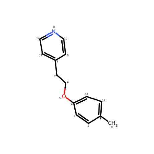 Cc1ccc(OCCc2ccncc2)cc1